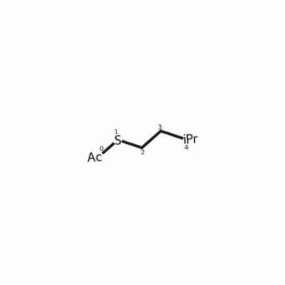 CC(=O)SCCC(C)C